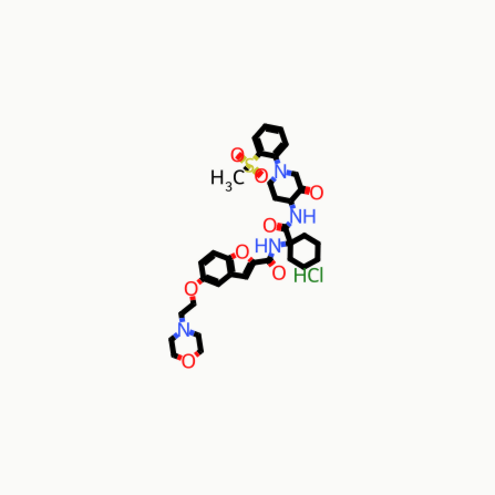 CS(=O)(=O)c1ccccc1N1CCC(NC(=O)C2(NC(=O)c3cc4cc(OCCN5CCOCC5)ccc4o3)CCCCC2)C(=O)C1.Cl